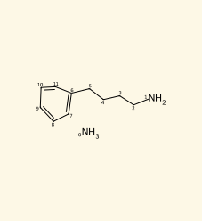 N.NCCCCc1ccccc1